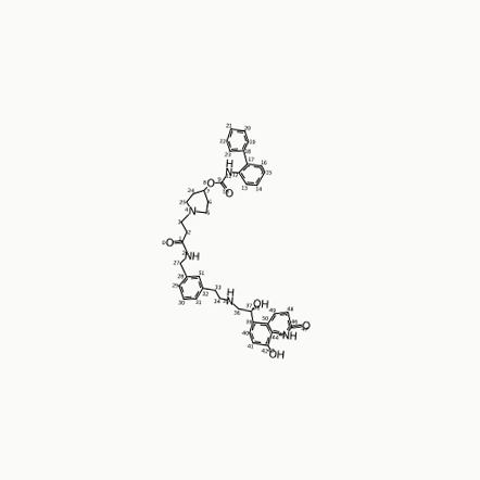 O=C(CCN1CCC(OC(=O)Nc2ccccc2-c2ccccc2)CC1)NCc1cccc(CCNC[C@@H](O)c2ccc(O)c3[nH]c(=O)ccc23)c1